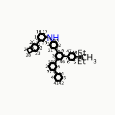 CCC(C)(CC)c1ccc(-c2cc(-c3ccc(Nc4cccc(-c5ccc6c(c5)CC6)c4)cc3)cc(-c3cccc(-c4ccccc4)c3)c2)cc1